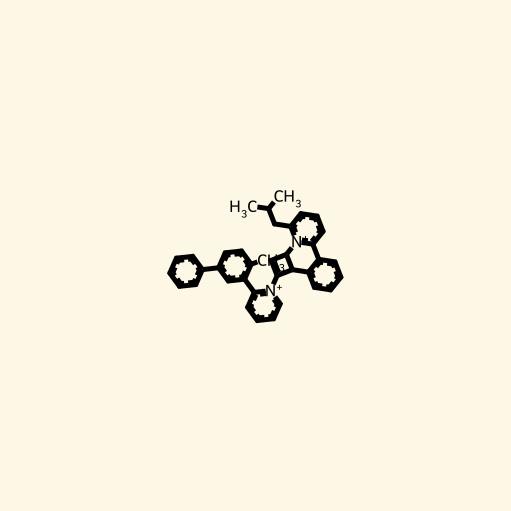 Cc1ccc(-c2ccccc2)cc1-c1cccc[n+]1C1=CC2C1c1ccccc1-c1cccc(CC(C)C)[n+]12